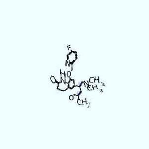 C/C(C=O)=C/C(=C\N(C)C)c1cc2c(c(OCc3ccc(F)cn3)c1)NC(=O)CC2